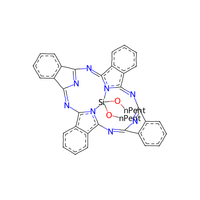 CCCCCO[Si]1(OCCCCC)n2c3c4ccccc4c2/N=C2N=C(/N=c4/c5ccccc5/c(n41)=N/C1=NC(=N\3)/c3ccccc31)c1ccccc1\2